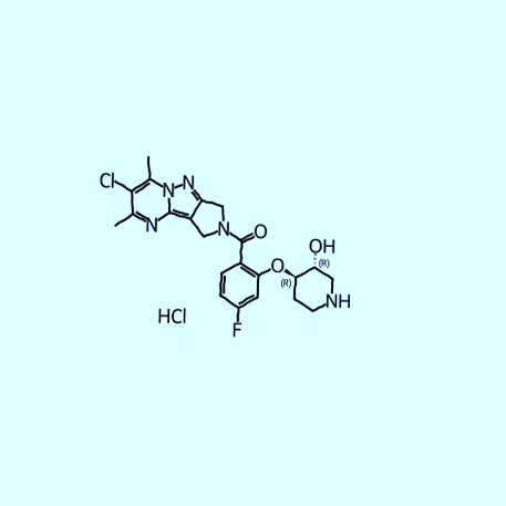 Cc1nc2c3c(nn2c(C)c1Cl)CN(C(=O)c1ccc(F)cc1O[C@@H]1CCNC[C@H]1O)C3.Cl